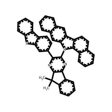 CC1(C)c2ccccc2-c2nc(-n3c4cc5ccccc5cc4c4ccc5ccccc5c43)c(-c3ccc4c(c3)sc3ccccc34)nc21